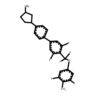 CCCCC1CCC(c2ccc(-c3cc(F)c(C(F)(F)Oc4cc(F)c(C)c(F)c4)c(F)c3)cc2)C1